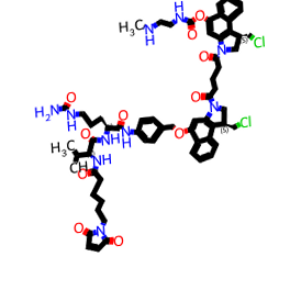 CNCCNC(=O)Oc1cc2c(c3ccccc13)[C@H](CCl)CN2C(=O)CCCC(=O)N1C[C@@H](CCl)c2c1cc(OCc1ccc(NC(=O)[C@H](CCCNC(N)=O)NC(=O)[C@@H](NC(=O)CCCCCN3C(=O)C=CC3=O)C(C)C)cc1)c1ccccc21